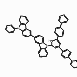 C1=Cc2c(n(-c3ccccc3)c3ccc(-c4ccc5c(c4)c4ccccc4n5C4N=C(c5ccc(-c6ccccc6)cc5)C=C(c5ccc(-c6ccccc6)cc5)N4)cc23)CC1